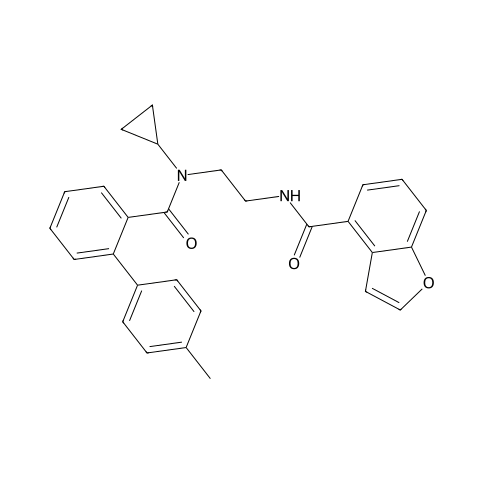 Cc1ccc(-c2ccccc2C(=O)N(CCNC(=O)c2cccc3occc23)C2CC2)cc1